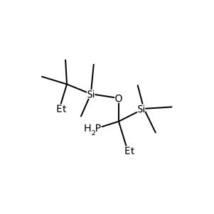 CCC(P)(O[Si](C)(C)C(C)(C)CC)[Si](C)(C)C